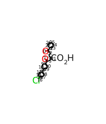 O=C(CCC(CC(=O)c1ccc(-c2ccc(Cl)cc2)cc1)C(=O)O)c1ccccc1